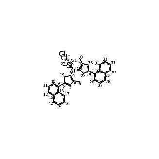 CC1=[C]([Zr+2]([C]2=C(C)C=C(c3cccc4ccccc34)C2)=[Si](C)C)CC(c2cccc3ccccc23)=C1.[Cl-].[Cl-]